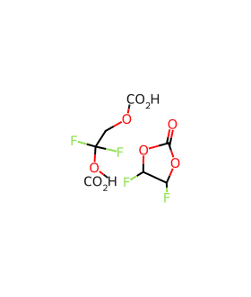 O=C(O)OCC(F)(F)OC(=O)O.O=C1OC(F)C(F)O1